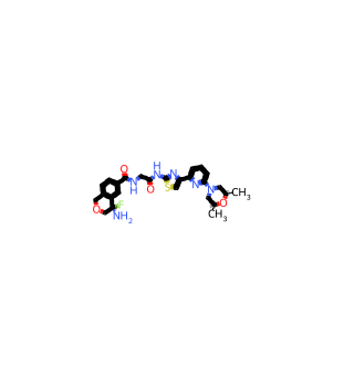 C[C@@H]1CN(c2cccc(-c3csc(NC(=O)CNC(=O)c4ccc5c(c4)[C@](N)(F)COC5)n3)n2)C[C@H](C)O1